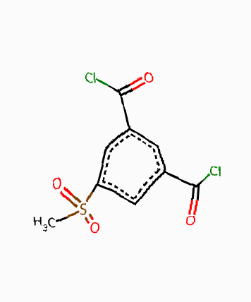 CS(=O)(=O)c1cc(C(=O)Cl)cc(C(=O)Cl)c1